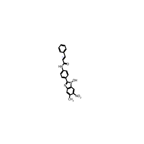 Cc1cc2nc(-c3ccc(NC(=O)/C=C/c4ccccc4)cc3)n(O)c2cc1[N+](=O)[O-]